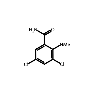 CNc1c(Cl)cc(Cl)cc1C(N)=O